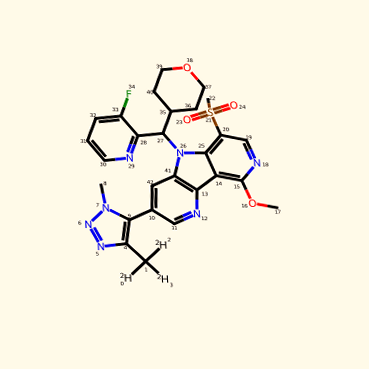 [2H]C([2H])([2H])c1nnn(C)c1-c1cnc2c3c(OC)ncc(S(C)(=O)=O)c3n(C(c3ncccc3F)C3CCOCC3)c2c1